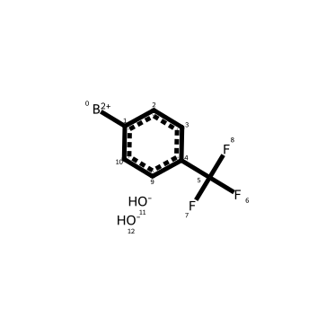 [B+2]c1ccc(C(F)(F)F)cc1.[OH-].[OH-]